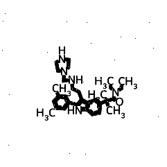 CCN(CC)C(=O)C(C)(C)c1ccc2[nH]c(-c3cc(C)cc(C)c3)c(CCNCN3CCNCC3)c2c1